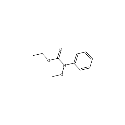 CCOC(=O)N(OC)c1ccccc1